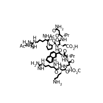 CC(=O)N[C@@H](CCCNC(=N)N)C(=O)N1CCC[C@H]1C(=O)N[C@@H](CCC(=O)O)C(=O)N[C@H](C(=O)CC(N)=O)C(C)C.CC(C)[C@H](NC(=O)[C@H](CC(=O)O)NC(=O)[C@H](CCCCN)NC(=O)[C@@H](N)CCCNC(=N)N)C(=O)NC(=O)c1ccc2ccccc2c1.CC(N)=O